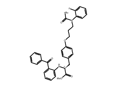 CCCCC(=O)N(CCCOc1ccc(C[C@H](Nc2ccccc2C(=O)c2ccccc2)C(=O)OC)cc1)c1ccccc1F